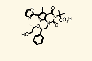 Cc1c(-c2ncco2)sc2c1c(=O)n(C(C)(C)C(=O)O)c(=O)n2C[C@H](O[C@@H](C)CO)c1ccccc1